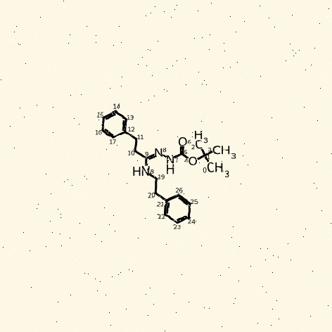 CC(C)(C)OC(=O)NN=C(CCc1ccccc1)NCCc1ccccc1